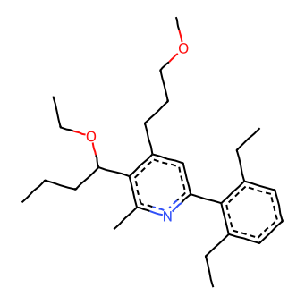 CCCC(OCC)c1c(CCCOC)cc(-c2c(CC)cccc2CC)nc1C